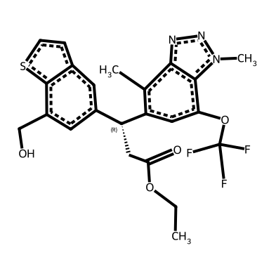 CCOC(=O)C[C@H](c1cc(CO)c2sccc2c1)c1cc(OC(F)(F)F)c2c(nnn2C)c1C